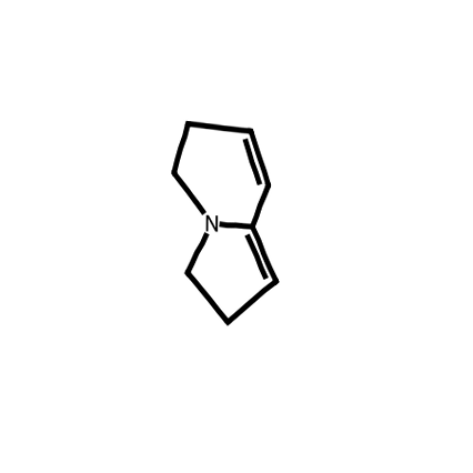 C1=CC2=CCCN2CC1